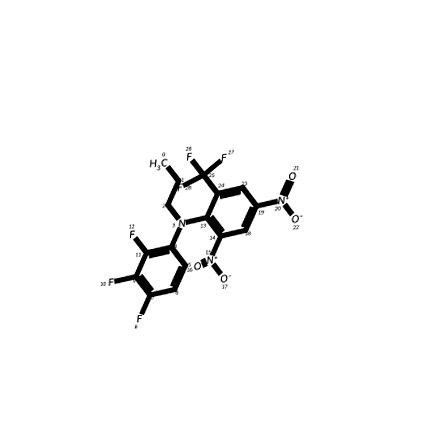 CCCN(c1ccc(F)c(F)c1F)c1c([N+](=O)[O-])cc([N+](=O)[O-])cc1C(F)(F)F